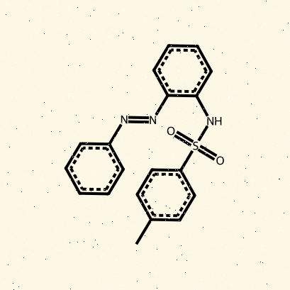 Cc1ccc(S(=O)(=O)Nc2ccccc2/N=N/c2ccccc2)cc1